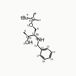 C[C@H](O)[C@@H](CO[Si](C)(C)C(C)(C)C)NCc1ccccc1